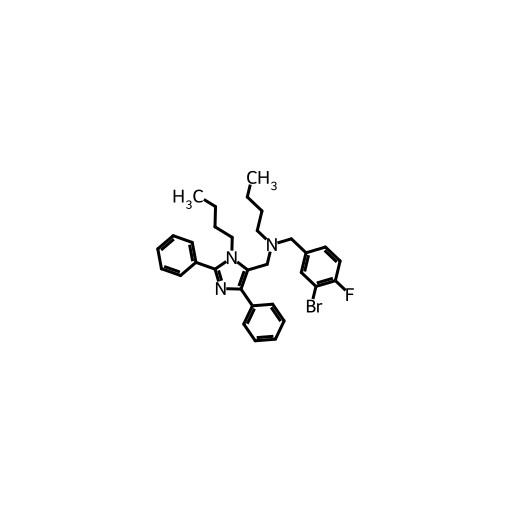 CCCCN(Cc1ccc(F)c(Br)c1)Cc1c(-c2ccccc2)nc(-c2ccccc2)n1CCCC